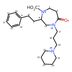 O=C1CCN(C(=O)O)C(CCc2ccccc2)CN1CCCN1CCCCC1